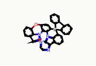 c1ccc2c(c1)-c1ccccc1[Si]21c2ccc3c4c2-n2c5c1cccc5c1ncc[n+](c12)[N+]41c2c(cccc2-c2cccc[n+]21)O3